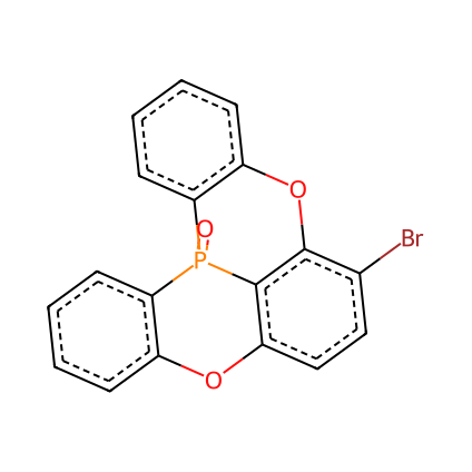 O=P12c3ccccc3Oc3ccc(Br)c(c31)Oc1ccccc12